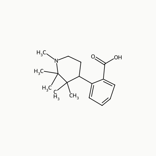 CN1CCC(c2ccccc2C(=O)O)C(C)(C)C1(C)C